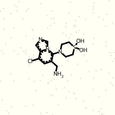 NCc1cc(Cl)c2cncn2c1N1CCS(O)(O)CC1